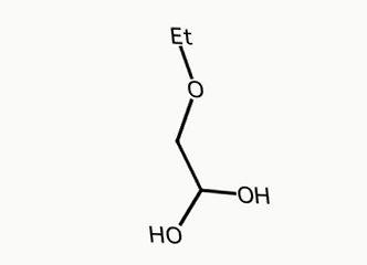 CCOCC(O)O